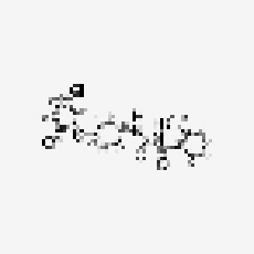 O=C(NC(=O)c1ccccc1Cl)Nc1ccc(Oc2cc(Cl)ccc2Cl)cc1